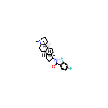 CN1CCC[C@@]2(C)C1CC[C@@H]1[C@H]2CC[C@]2(C)C(NC(=O)c3ccc(F)cc3F)CC[C@@H]12